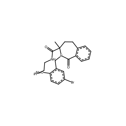 COc1ccc(Br)cc1CN1C(=O)c2ccccc2CCC1(C)C(=O)NCCC(C)C